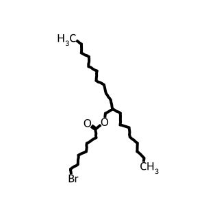 CCCCCCCCCCC(CCCCCCCC)COC(=O)CCCCCCBr